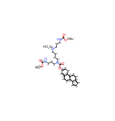 CC(C)(C)OC(=O)NCCCN(CCCCN(CCCNC(=O)OC(C)(C)C)C(=O)OC1=CCc2c(ccc3c4c(ccc23)=CC=C4)=C1)C(=O)O